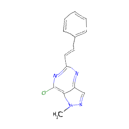 Cn1ncc2nc(C=Cc3ccccc3)nc(Cl)c21